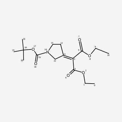 CCOC(=O)C(C(=O)OCC)=C1CCN(C(=O)OC(C)(C)C)C1